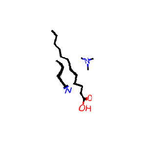 CCCC#N.CCCCCCCCCCCC(=O)O.CN(C)C